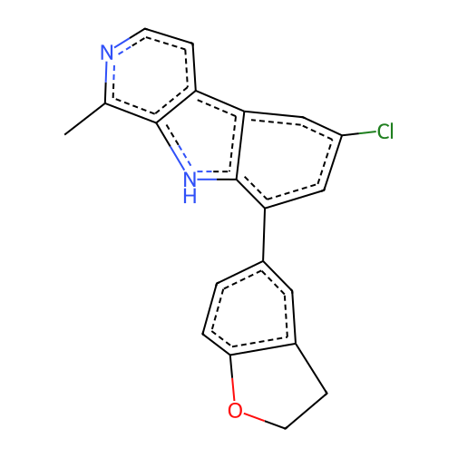 Cc1nccc2c1[nH]c1c(-c3ccc4c(c3)CCO4)cc(Cl)cc12